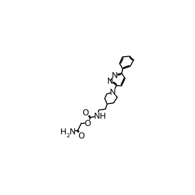 NC(=O)COC(=O)NCCC1CCN(c2ccc(-c3ccccc3)nn2)CC1